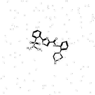 CN(C)S(=O)(=O)c1ccccc1-c1nc(C(=O)Nc2ccccc2N2CCNCC2)cs1